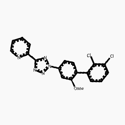 COc1cc(-n2nnc(-c3ccccn3)n2)ccc1-c1cccc(Cl)c1Cl